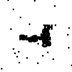 COc1cc(C(N)CCc2ccc(OCCNCC(C)(C)C)cc2)c(C2CCc3cc(O)ccc3C2)cc1OC